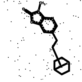 Cn1c(=O)oc2cc(CCN3CC4CCC(CC4)C3)cnc21